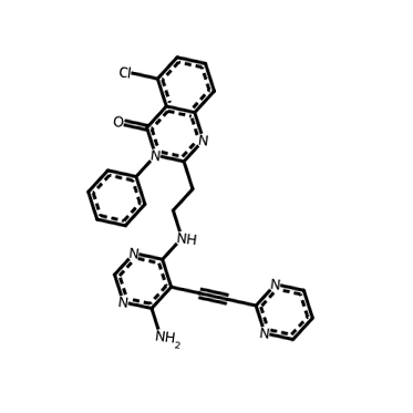 Nc1ncnc(NCCc2nc3cccc(Cl)c3c(=O)n2-c2ccccc2)c1C#Cc1ncccn1